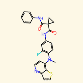 CN(c1ccc(NC(=O)C2(C(=O)Nc3ccccc3)CC2)cc1F)c1ccnc2ccsc12